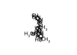 COC[C@@H]1C[C@H]2C[C@](C)(O)CC[C@]2(C)[C@H]2CC[C@]3(C)[C@@H](C(=O)Cn4nnc5ccc(OC)cc54)CC[C@H]3[C@H]12